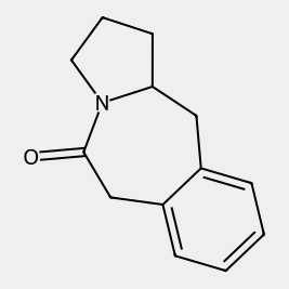 O=C1Cc2ccccc2CC2CCCN12